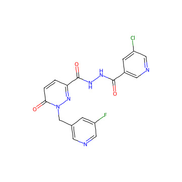 O=C(NNC(=O)c1ccc(=O)n(Cc2cncc(F)c2)n1)c1cncc(Cl)c1